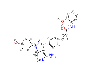 COc1ccccc1NC(=O)[C@H]1C[C@@H]1c1ccc(-c2nn(C3CCC(=O)CC3)c3ncnc(N)c23)cc1